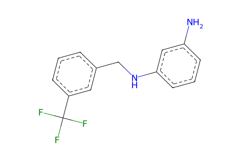 Nc1cccc(NCc2cccc(C(F)(F)F)c2)c1